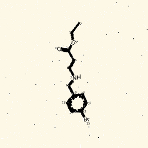 CCOC(=O)CCNCc1ccc(Br)cc1